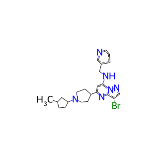 CC1CCC(N2CCC(c3cc(NCc4cccnc4)n4ncc(Br)c4n3)CC2)C1